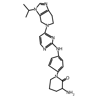 CC(C)n1cnc2c1CN(c1ccnc(Nc3ccc(N4CCCC(N)C4=O)cc3)n1)CC2